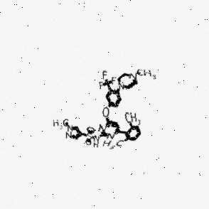 Cc1cccc(C)c1-c1cc(Oc2ccc(N3CCN(C)CC3)c(C(F)(F)F)c2)nc(NS(=O)(=O)c2cnn(C)c2)n1